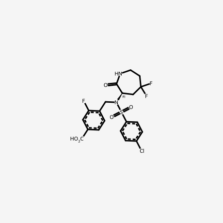 O=C(O)c1ccc(CN([C@@H]2CC(F)(F)CCNC2=O)S(=O)(=O)c2ccc(Cl)cc2)c(F)c1